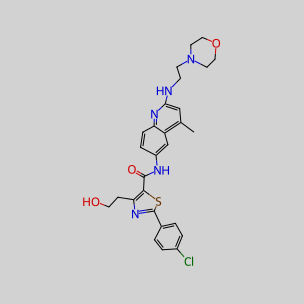 Cc1cc(NCCN2CCOCC2)nc2ccc(NC(=O)c3sc(-c4ccc(Cl)cc4)nc3CCO)cc12